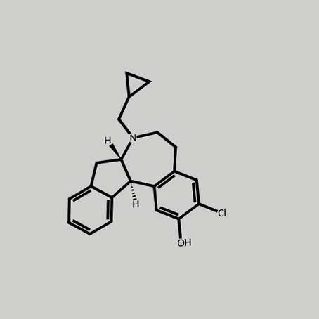 Oc1cc2c(cc1Cl)CCN(CC1CC1)[C@H]1Cc3ccccc3[C@H]21